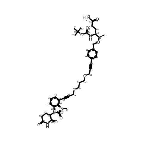 C[C@@H](OCc1ccc(C#CCOCCCOCC#Cc2cccc3c2n(C)c(=O)n3C2CCC(=O)NC2=O)cc1)[C@H](CCC(N)=O)NC(=O)OC(C)(C)C